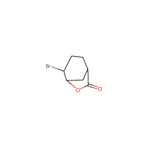 O=C1OC2CC1CCC2Br